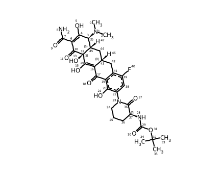 CN(C)[C@@H]1C(O)=C(C(N)=O)C(=O)[C@@]2(O)C(O)=C3C(=O)c4c(O)c(N5CCC[C@H](NC(=O)OC(C)(C)C)C5=O)cc(F)c4C[C@H]3C[C@@H]12